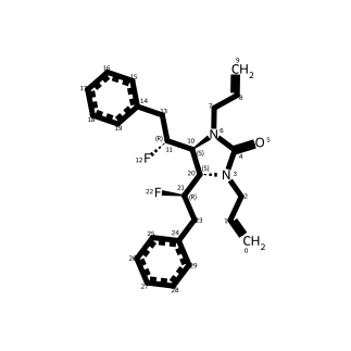 C=CCN1C(=O)N(CC=C)[C@H]([C@H](F)Cc2ccccc2)[C@H]1[C@H](F)Cc1ccccc1